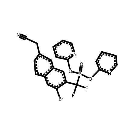 N#CCc1ccc2cc(Br)c(C(F)(F)P(=O)(Oc3ccccn3)Oc3ccccn3)cc2c1